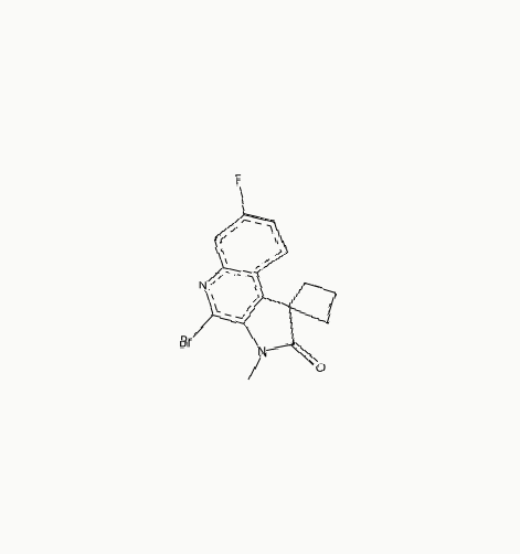 CN1C(=O)C2(CCC2)c2c1c(Br)nc1cc(F)ccc21